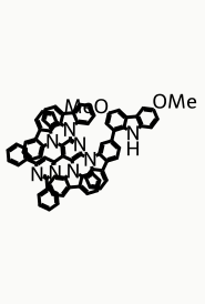 COc1ccc2[nH]c3c(-c4ccc5c6ccccc6n(-c6nc(-n7c8ccccc8c8ccccc87)c(-n7c8ccccc8c8ccccc87)c(-c7cc(-c8ccccc8)nc(-c8ccccc8)n7)c6-n6c7ccccc7c7ccccc76)c5c4)cc(OC)cc3c2c1